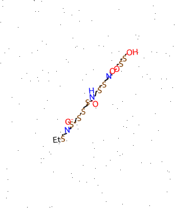 CCSCC/N=C/[S+]([O-])CCSCSCCSC(=O)NCCSCSCC/N=C/OOCSCSCO